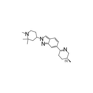 C[C@H]1CCC(c2ccc3cn(C4CCN(C)C(C)(C)C4)nc3c2)=NC1